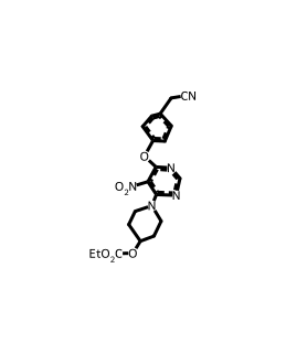 CCOC(=O)OC1CCN(c2ncnc(Oc3ccc(CC#N)cc3)c2[N+](=O)[O-])CC1